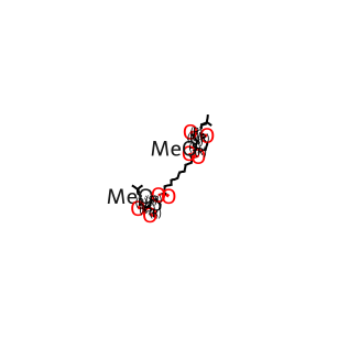 CO[C@@H]1[C@H](OC(=O)CCCCCCCCC(=O)O[C@@H]2CC[C@]3(CO3)[C@@H]([C@@]3(C)O[C@@H]3CC=C(C)C)[C@@H]2OC)CC[C@]2(CO2)[C@H]1[C@@]1(C)O[C@@H]1CC=C(C)C